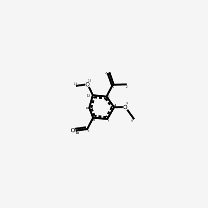 C=C(C)c1c(OC)cc(C=O)cc1OC